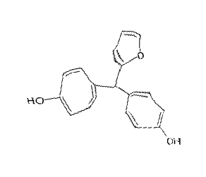 Oc1ccc(C(c2ccc(O)cc2)c2ccco2)cc1